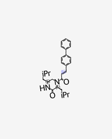 CC(C)C[C@H]1CN(C(=O)/C=C/c2ccc(-c3ccccc3)cc2)[C@@H](CC(C)C)C(=O)N1